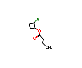 CCCC(=O)OC1CCC1Br